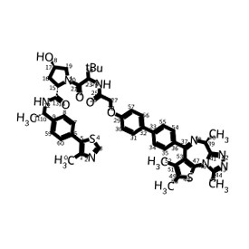 Cc1ncsc1-c1ccc([C@H](C)NC(=O)[C@@H]2C[C@@H](O)CN2C(=O)C(NC(=O)COc2ccc(-c3ccc(C4=N[C@@H](C)c5nnc(C)n5-c5sc(C)c(C)c54)cc3)cc2)C(C)(C)C)cc1